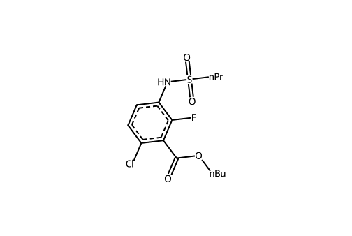 CCCCOC(=O)c1c(Cl)ccc(NS(=O)(=O)CCC)c1F